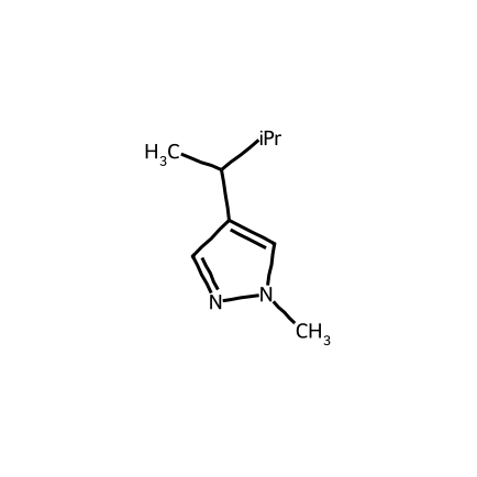 CC(C)C(C)c1cnn(C)c1